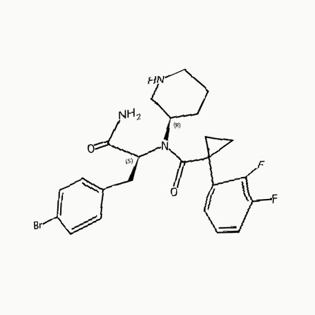 NC(=O)[C@H](Cc1ccc(Br)cc1)N(C(=O)C1(c2cccc(F)c2F)CC1)[C@@H]1CCCNC1